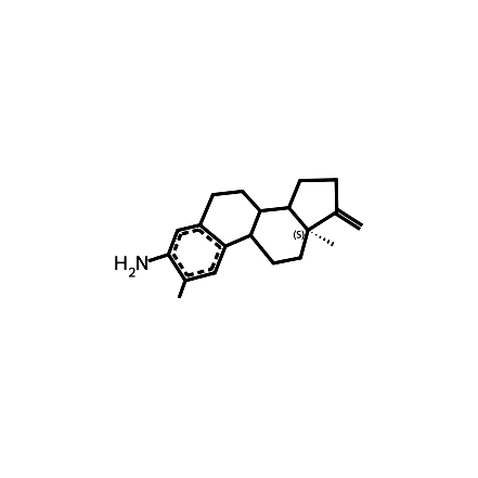 C=C1CCC2C3CCc4cc(N)c(C)cc4C3CC[C@]12C